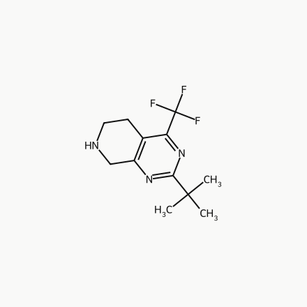 CC(C)(C)c1nc2c(c(C(F)(F)F)n1)CCNC2